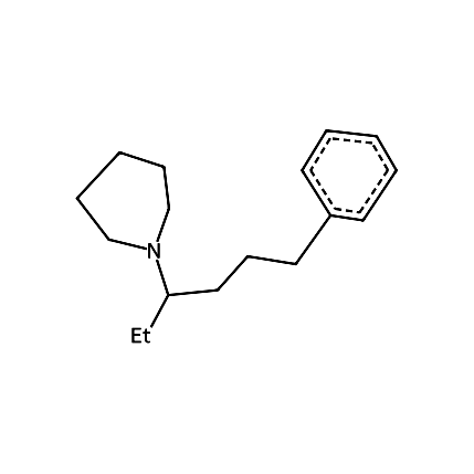 [CH2]CC(CCCc1ccccc1)N1CCCCC1